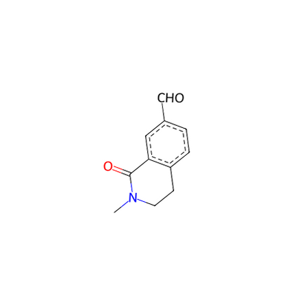 CN1CCc2ccc(C=O)cc2C1=O